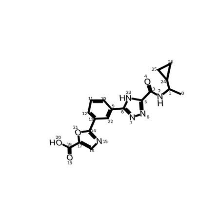 CC(NC(=O)c1nnc(-c2cccc(-c3ncc(C(=O)O)o3)c2)[nH]1)C1CC1